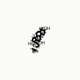 CC(C)(O)[C@H]1CC[C@@](C)([C@@]2(O)CC[C@@]3(C)[C@@H]2[C@H](O)C[C@@H]2[C@@]4(C)CC[C@@H](O)C(C)(C)C4CC[C@]23C)O1